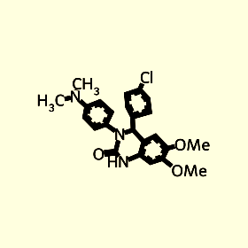 COc1cc2c(cc1OC)C(c1ccc(Cl)cc1)N(c1ccc(N(C)C)cc1)C(=O)N2